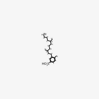 Cc1ccc(S(=O)(=O)O)cc1CCC(C)CCCC(C)CCCC(C)C